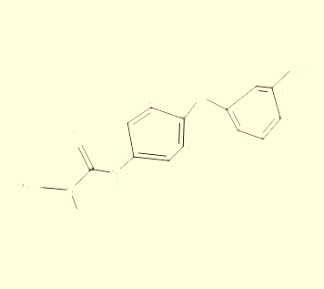 CON(C)C(=O)Nc1ccc(Oc2cccc(C(F)(F)F)c2)cc1